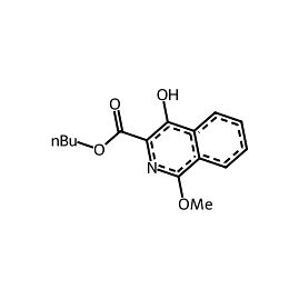 CCCCOC(=O)c1nc(OC)c2ccccc2c1O